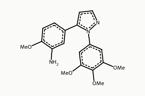 COc1ccc(-c2ccnn2-c2cc(OC)c(OC)c(OC)c2)cc1N